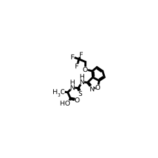 CC(NC(=S)Nc1noc2cccc(OCC(F)(F)F)c12)C(=O)O